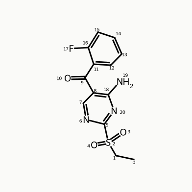 CCS(=O)(=O)c1ncc(C(=O)c2ccccc2F)c(N)n1